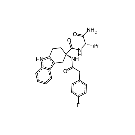 CC(C)[C@H](NC(=O)[C@@]1(NC(=O)Cc2ccc(F)cc2)CCc2[nH]c3ccccc3c2C1)C(N)=O